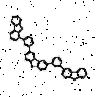 c1cc(-c2ccc3oc4ccccc4c3c2)cc(-c2ccc3sc4ccc(-c5cccc(-c6cccc7c6sc6ccccc67)c5)cc4c3c2)c1